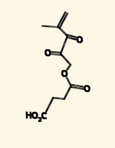 C=C(C)C(=O)C(=O)COC(=O)CCC(=O)O